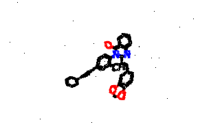 Cc1cc(C#Cc2ccccc2)ccc1-n1c(C=Cc2ccc3c(c2)OCO3)nc2ccccc2c1=O